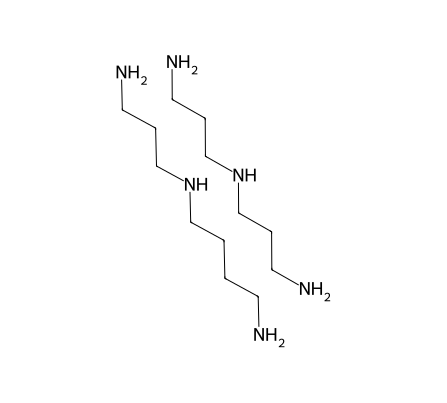 NCCCCNCCCN.NCCCNCCCN